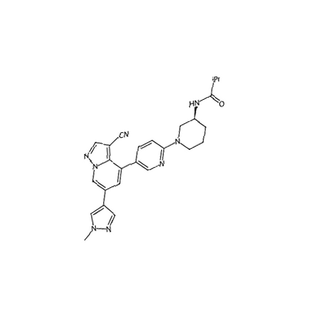 CC(C)C(=O)N[C@H]1CCCN(c2ccc(-c3cc(-c4cnn(C)c4)cn4ncc(C#N)c34)cn2)C1